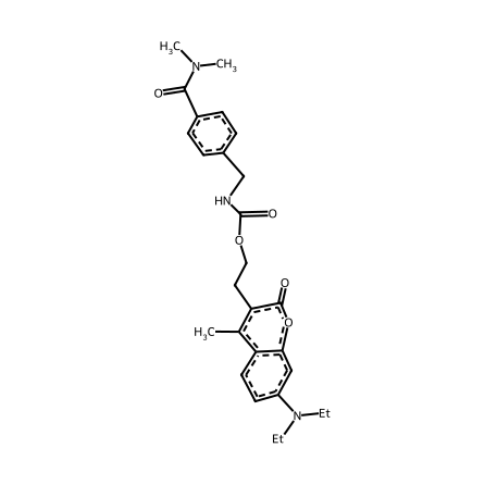 CCN(CC)c1ccc2c(C)c(CCOC(=O)NCc3ccc(C(=O)N(C)C)cc3)c(=O)oc2c1